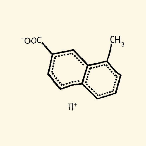 Cc1cccc2ccc(C(=O)[O-])cc12.[Tl+]